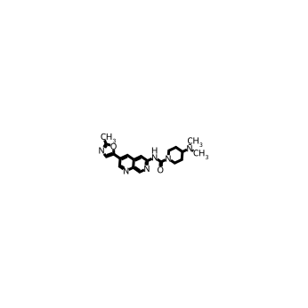 Cc1ncc(-c2cnc3cnc(NC(=O)N4CCC(N(C)C)CC4)cc3c2)o1